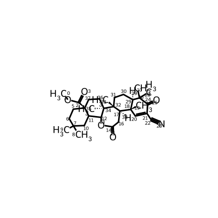 COC(=O)[C@]12CCC(C)(C)CC1C1OC(=O)C[C@@H]3[C@@]4(C)C=C(C#N)C(=O)C(C)(C)[C@@H]4CC[C@@]3(C)[C@]1(C)CC2